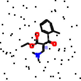 CCOC(=O)/C(=C\N(C)C)C(=O)c1ccccc1C